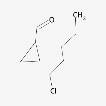 CCCCCCl.O=CC1CC1